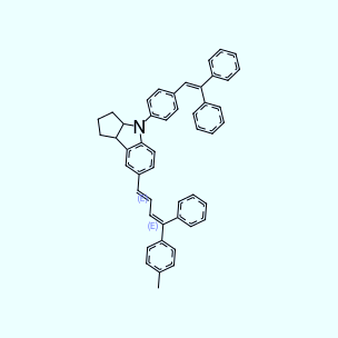 Cc1ccc(/C(=C/C=C/c2ccc3c(c2)C2CCCC2N3c2ccc(C=C(c3ccccc3)c3ccccc3)cc2)c2ccccc2)cc1